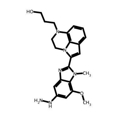 COc1cc(NN)cc2nc(-c3cc4cccc5c4n3CCN5CCCO)n(C)c12